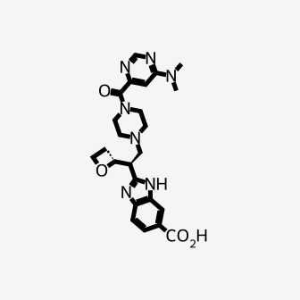 CN(C)c1cc(C(=O)N2CCN(C[C@@H](c3nc4ccc(C(=O)O)cc4[nH]3)[C@H]3CCO3)CC2)ncn1